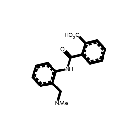 CNCc1ccccc1NC(=O)c1ccccc1C(=O)O